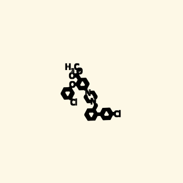 COC(=O)c1ccc(N2CCN(Cc3ccccc3-c3ccc(Cl)cc3)CC2)cc1Oc1cccc(Cl)c1